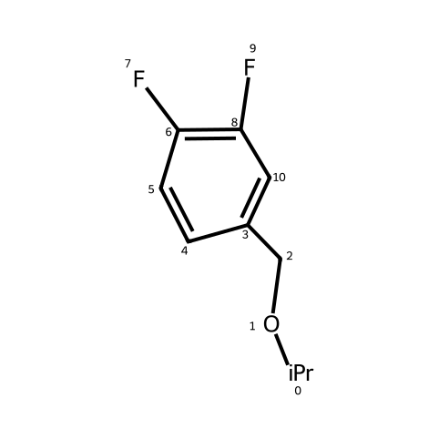 CC(C)OCc1ccc(F)c(F)c1